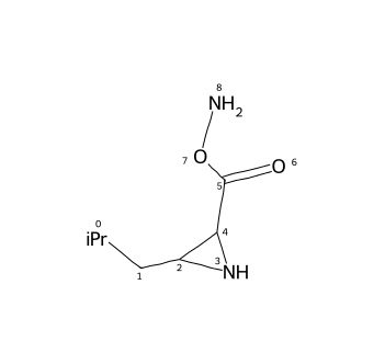 CC(C)CC1NC1C(=O)ON